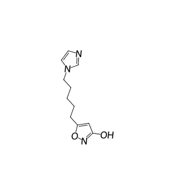 Oc1cc(CCCCCn2ccnc2)on1